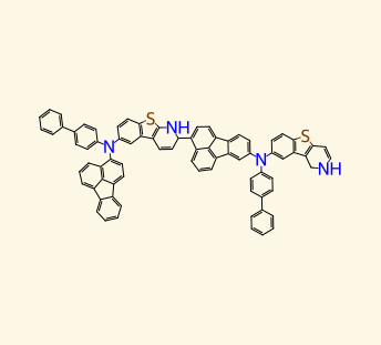 C1=Cc2sc3ccc(N(c4ccc(-c5ccccc5)cc4)c4ccc5c(c4)-c4cccc6c(C7C=Cc8c(sc9ccc(N(c%10ccc(-c%11ccccc%11)cc%10)c%10ccc%11c%12c(cccc%10%12)-c%10ccccc%10-%11)cc89)N7)ccc-5c46)cc3c2CN1